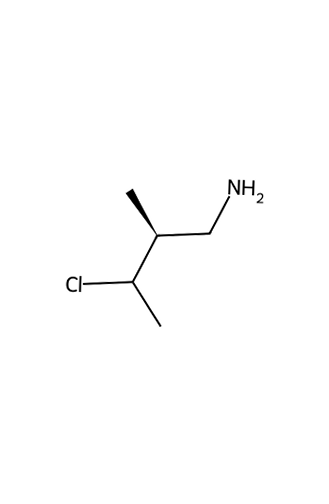 CC(Cl)[C@@H](C)CN